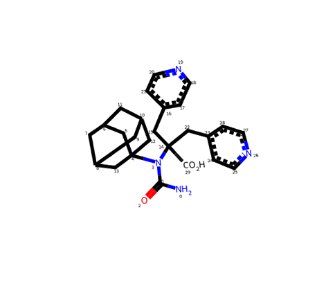 NC(=O)N(C12CC3CC(CC(C3)C1)C2)C(Cc1ccncc1)(Cc1ccncc1)C(=O)O